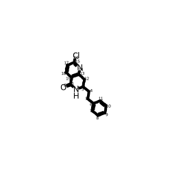 O=C1NC(CCc2ccccc2)Cc2nc(Cl)ccc21